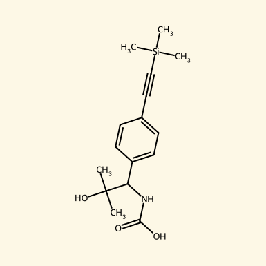 CC(C)(O)C(NC(=O)O)c1ccc(C#C[Si](C)(C)C)cc1